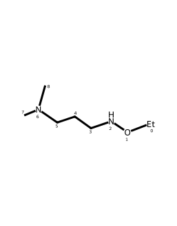 CCONCCCN(C)C